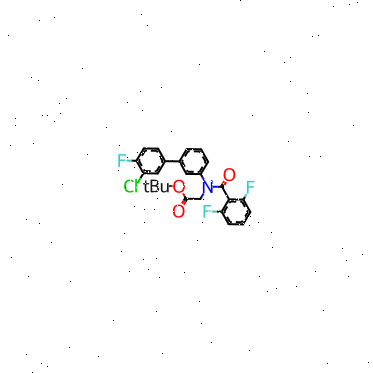 CC(C)(C)OC(=O)CN(C(=O)c1c(F)cccc1F)c1cccc(-c2ccc(F)c(Cl)c2)c1